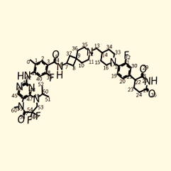 Cc1cc(C(=O)NC2CC3(CCN(CC4CCN(c5ccc(C6CCC(=O)NC6=O)cc5F)CC4)CC3)C2)c(F)cc1Nc1ncc2c(n1)N(C(C)C)CC(F)(F)C(=O)N2C